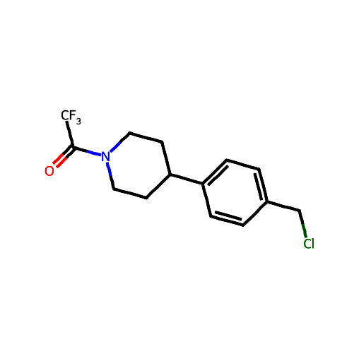 O=C(N1CCC(c2ccc(CCl)cc2)CC1)C(F)(F)F